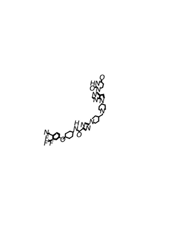 N#Cc1ccc(OC2CCC(NC(=O)c3cnc(N4CCC(CN5CCC(n6ccc7c(N8CCC(=O)NC8=O)ncnc76)CC5)CC4)cn3)CC2)cc1C(F)(F)F